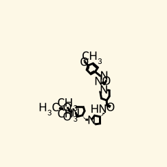 COc1ccc(-c2noc(N3CCC(C(=O)NC[C@@H]4CCN(C[C@H]5CCCN(C(=O)OC(C)(C)C)C5)C4)CC3)n2)cc1